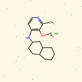 COc1c(NC2CCC3CCCCC3C2)ccnc1C.Cl